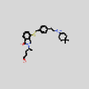 CC(CCC=O)N1Cc2c(SCc3ccc(CCNC4CCC(C)(C)CC4)cc3)cccc2C1=O